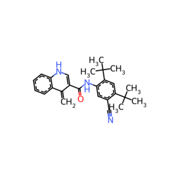 C=C1C(C(=O)Nc2cc(C#N)c(C(C)(C)C)cc2C(C)(C)C)=CNc2ccccc21